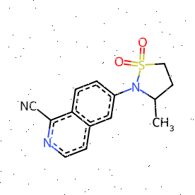 CC1CCS(=O)(=O)N1c1ccc2c(C#N)nccc2c1